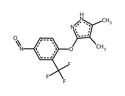 Cc1[nH]nc(Oc2ccc(N=O)cc2C(F)(F)F)c1C